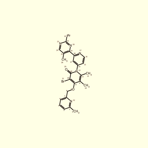 Cc1cccc(COc2c(C)c(C)n(-c3ccnc(-c4nc(C(C)C)ncc4C)c3)c(=O)c2Br)n1